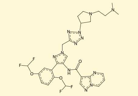 CN(C)CCN1CCC(n2nnc(Cn3cc(NC(=O)c4cnn5cccnc45)c(-c4cc(OC(F)F)ccc4OC(F)F)n3)n2)C1